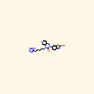 O=C(NCCCCCc1nnn[nH]1)N(Cc1ccncc1)c1ccc2nc(S)sc2c1